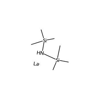 C[Si](C)(C)N[Si](C)(C)C.[La]